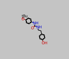 CC(C)(C)Oc1ccc(NC(=O)NCCc2ccc(O)cc2)cc1